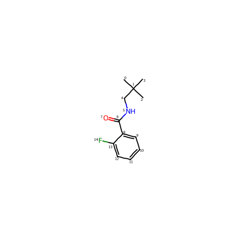 CC(C)(C)CNC(=O)c1ccccc1F